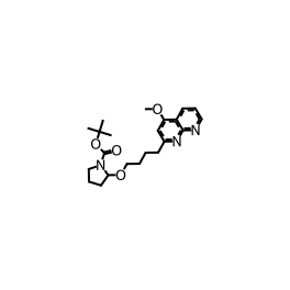 COc1cc(CCCCOC2CCCN2C(=O)OC(C)(C)C)nc2ncccc12